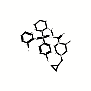 C[C@H]1CN(CC2CC2)CCN1C(=O)OC[C@H]1CCC[C@@H](c2cccc(F)c2)N1S(=O)(=O)c1ccc(F)cc1